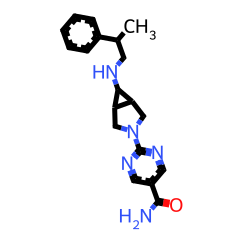 CC(CNC1C2CN(c3ncc(C(N)=O)cn3)CC21)c1ccccc1